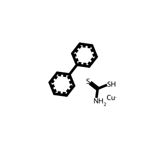 NC(=S)S.[Cu].c1ccc(-c2ccccc2)cc1